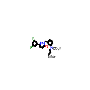 CNCCCN(C(=O)O)c1cccc(Cn2nc(-c3cc(F)cc(F)c3)ccc2=O)c1